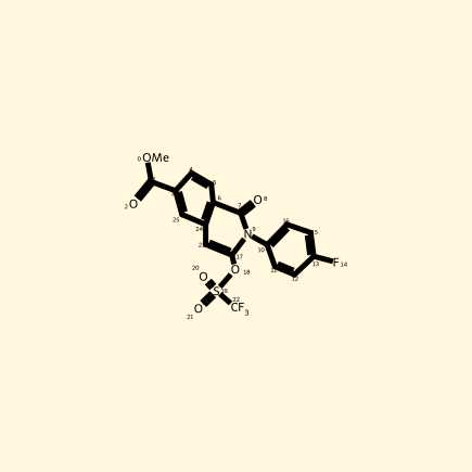 COC(=O)c1ccc2c(=O)n(-c3ccc(F)cc3)c(OS(=O)(=O)C(F)(F)F)cc2c1